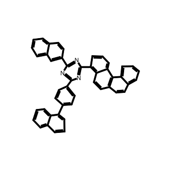 c1ccc2cc(-c3nc(-c4ccc(-c5cccc6ccccc56)cc4)nc(-c4cccc5c4ccc4ccc6ccccc6c45)n3)ccc2c1